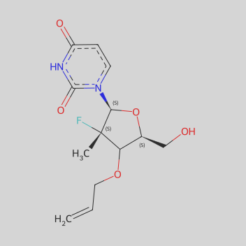 C=CCOC1[C@H](CO)O[C@H](n2ccc(=O)[nH]c2=O)[C@@]1(C)F